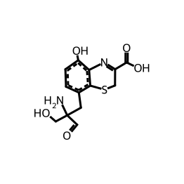 NC(C=O)(CO)Cc1ccc(O)c2c1SCC(C(=O)O)=N2